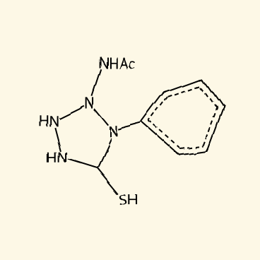 CC(=O)NN1NNC(S)N1c1ccccc1